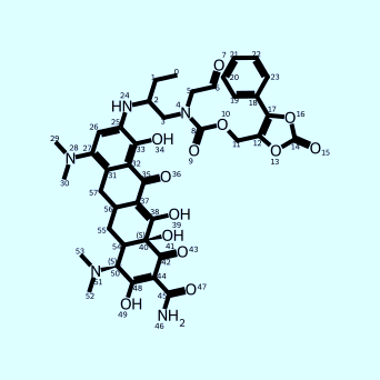 CCC(CN(CC=O)C(=O)OCc1oc(=O)oc1-c1ccccc1)Nc1cc(N(C)C)c2c(c1O)C(=O)C1=C(O)[C@]3(O)C(=O)C(C(N)=O)=C(O)[C@@H](N(C)C)C3CC1C2